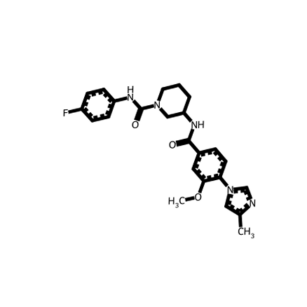 COc1cc(C(=O)NC2CCCN(C(=O)Nc3ccc(F)cc3)C2)ccc1-n1cnc(C)c1